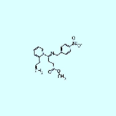 C=CCc1ccccc1/C(CCC(=O)OC)=N/Cc1ccc([N+](=O)[O-])cc1